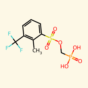 Cc1c(C(F)(F)F)cccc1S(=O)(=O)OCP(=O)(O)O